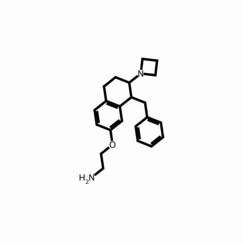 NCCOc1ccc2c(c1)C(Cc1ccccc1)C(N1CCC1)CC2